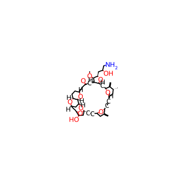 C=C1CC2CC[C@]34C[C@@H](O)C(O3)[C@H]3C[C@@H](O4)[C@H]4O[C@H](CC[C@@H]4O3)CC(=O)C[C@@H]3[C@@H](OC)[C@@H](C[C@H](O)CN)O[C@H]3CC3O[C@@H](CCC1O2)C[C@@H](C)C3=C